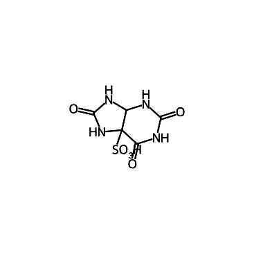 O=C1NC(=O)C2(S(=O)(=O)O)NC(=O)NC2N1